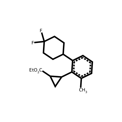 CCOC(=O)C1CC1c1c(C)cccc1C1CCC(F)(F)CC1